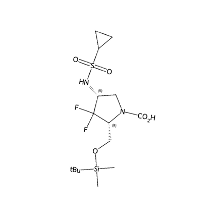 CC(C)(C)[Si](C)(C)OC[C@H]1N(C(=O)O)C[C@@H](NS(=O)(=O)C2CC2)C1(F)F